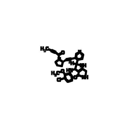 [2H]C1(c2ccncc2C#C[C@H]2CCCN2C(=O)C#CC)NC2=C(C(=O)NCC2)C1Nc1cccc(Cl)c1OC